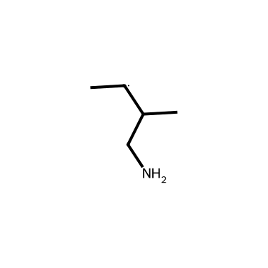 C[CH]C(C)CN